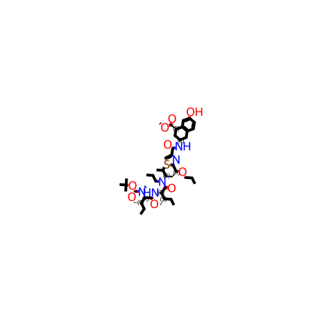 CCCO[C@H](C[C@H](C(C)C)N(CCC)C(=O)[C@@H](NC(=O)[C@@H]([C@@H](C)CC)N(C)C(=O)OC(C)(C)C)[C@@H](C)CC)c1nc(C(=O)N[C@H]2Cc3ccc(O)cc3[C@H](C(=O)OC)C2)cs1